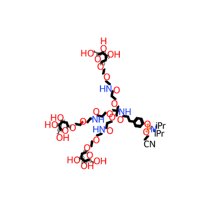 CC(C)N(C(C)C)P(OCCC#N)Oc1ccc(CCC(=O)NC(COCCC(=O)NCCOCCO[C@H]2C[C@@H](O)[C@@H](O)[C@@H](CO)O2)(COCCC(=O)NCCOCCO[C@H]2C[C@@H](O)[C@@H](O)[C@@H](CO)O2)COCCC(=O)NCCOCCO[C@H]2C[C@@H](O)[C@@H](O)[C@@H](CO)O2)cc1